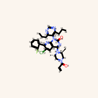 C=CC(=O)N1C[C@H](C)N(c2nc(=O)n(-c3c(CCC)ncnc3CCC)c3nc(-c4ccccc4F)c(Cl)cc23)[C@@H](C)C1